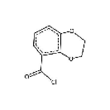 O=C(Cl)c1cccc2c1OCCO2